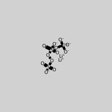 O=S(=O)([O-])OOS(=O)(=O)[O-].[Li+].[Li+].[O-][I+3]([O-])([O-])O